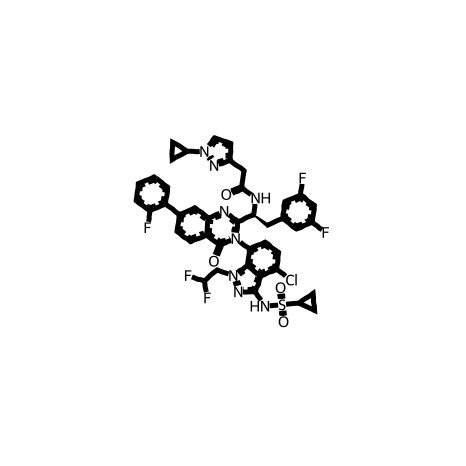 O=C(Cc1ccn(C2CC2)n1)N[C@@H](Cc1cc(F)cc(F)c1)c1nc2cc(-c3ccccc3F)ccc2c(=O)n1-c1ccc(Cl)c2c(NS(=O)(=O)C3CC3)nn(CC(F)F)c12